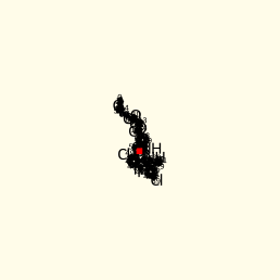 CCOC(C)(C)CCOC(=O)OC(C)OC(=O)c1ccc(NC(=O)[C@@H]2N[C@@H](CC(C)(C)C)[C@](C#N)(c3ccc(Cl)cc3F)[C@H]2c2cccc(Cl)c2F)c(OC)c1